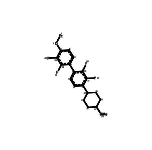 CCOc1ccc(-c2ccc(C3CCC(OC)CC3)c(F)c2F)c(F)c1F